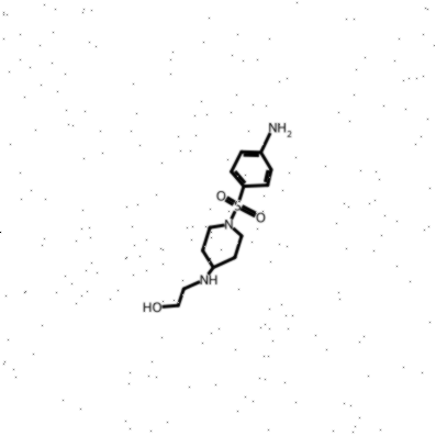 Nc1ccc(S(=O)(=O)N2CCC(NCCO)CC2)cc1